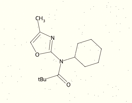 Cc1coc(N(C(=O)C(C)(C)C)C2CCCCC2)n1